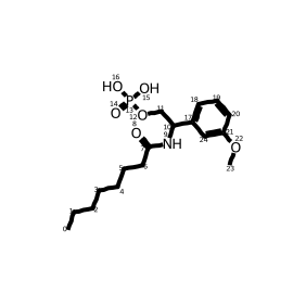 CCCCCCCC(=O)NC(COP(=O)(O)O)c1cccc(OC)c1